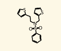 O=S(=O)(c1ccccc1)N(CCc1cccs1)Cc1cccs1